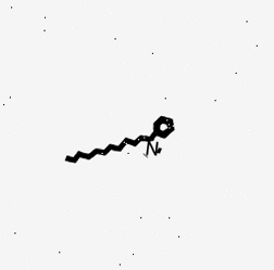 CCCCCCCCCCCC(c1ccccc1)N(C)C